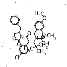 COc1ccc(CN(C(=O)O)[C@@H](C(C(=O)N2C(=O)OC[C@H]2Cc2ccccc2)c2ccc(Cl)cc2)C(C)(C)C)c(OC)c1